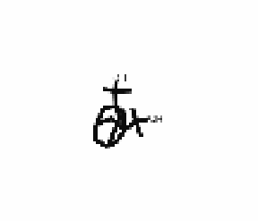 CC(C)(O)C12CC3CC(C1)CC(C(C)(C)O)(C3)C2